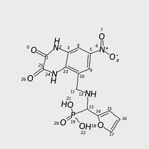 O=c1[nH]c2cc([N+](=O)[O-])cc(CNC(c3ccco3)P(=O)(O)O)c2[nH]c1=O